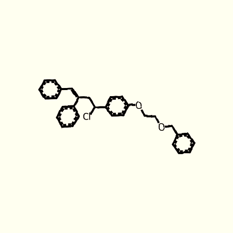 ClC(CC(=Cc1ccccc1)c1ccccc1)c1ccc(OCCOCc2ccccc2)cc1